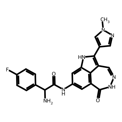 Cn1cc(-c2[nH]c3cc(NC(=O)C(N)c4ccc(F)cc4)cc4c3c2C=NNC4=O)cn1